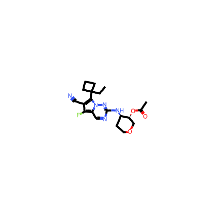 CCC1(c2c(C#N)c(F)c3cnc(N[C@@H]4CCOC[C@H]4OC(C)=O)nn23)CCC1